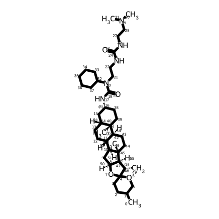 CC1CCC2(OC1)O[C@H]1C[C@H]3[C@@H]4CC[C@@H]5C[C@H](NC(=O)N(CCNC(=O)NCCN(C)C)C6CCCCC6)CC[C@]5(C)[C@H]4CC[C@]3(C)[C@H]1[C@@H]2C